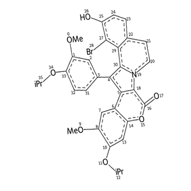 COc1cc(-c2c3c4cc(OC)c(OC(C)C)cc4oc(=O)c3n3ccc4ccc(O)c(Br)c4c23)ccc1OC(C)C